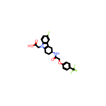 O=C(O)Cn1c2c(c3cc(F)ccc31)C[C@@H](NC(=O)COc1ccc(C(F)(F)F)cc1)CC2